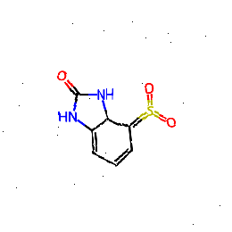 O=C1NC2=CC=CC(=S(=O)=O)C2N1